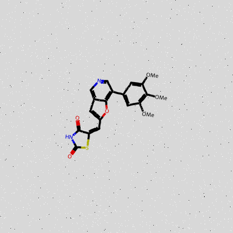 COc1cc(-c2cncc3cc(C=C4SC(=O)NC4=O)oc23)cc(OC)c1OC